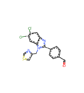 O=Cc1ccc(-c2nc3cc(Cl)c(Cl)cc3n2Cc2cscn2)cc1